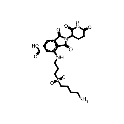 NCCCCS(=O)(=O)CCCNc1cccc2c1C(=O)N(C1CCC(=O)NC1=O)C2=O.O=CO